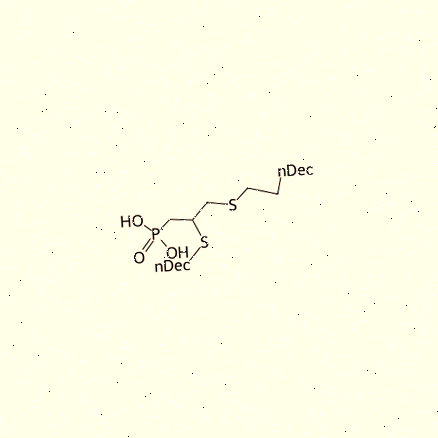 CCCCCCCCCCCCSCC(CP(=O)(O)O)SCCCCCCCCCC